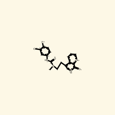 CN(CCc1c[nH]c(=O)c2ncccc12)C(=O)Nc1ccc(F)c(Cl)c1